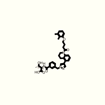 Cc1cccc(OCCCC(=O)N2CCCc3c(-c4cnn(Cc5cccc(C(=O)N[C@@H](C(=O)O)[C@H](C)O)c5)c4)cccc32)c1C